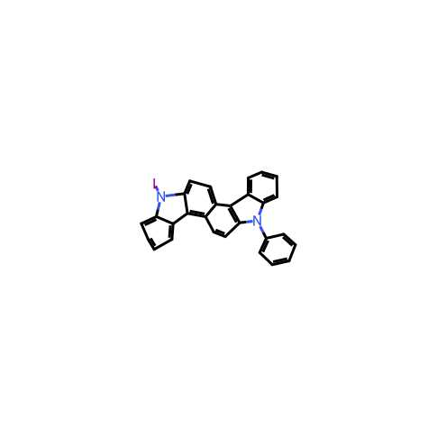 In1c2ccccc2c2c3ccc4c(c3ccc21)c1ccccc1n4-c1ccccc1